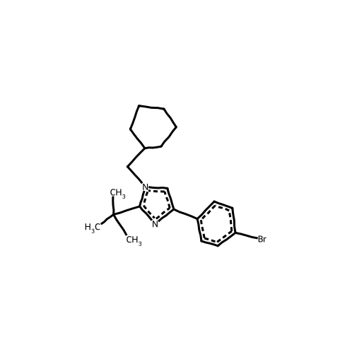 CC(C)(C)c1nc(-c2ccc(Br)cc2)cn1CC1CCCCC1